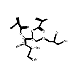 C=C(C)C(=O)O[C@@H]([C@H](O)[C@H](O)CO)[C@H](COCC(O)CO)OC(=O)C(=C)C